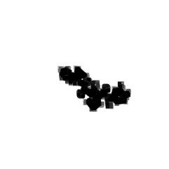 Cc1ccc(NC(=O)c2c(Cl)c(C(=O)C(=O)NC3(c4nncs4)CC3)n3c2CCC3)cc1F